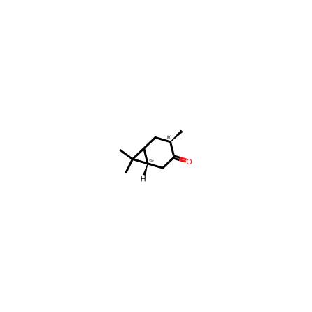 C[C@@H]1CC2[C@H](CC1=O)C2(C)C